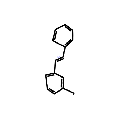 Fc1cccc(/C=C/c2ccccc2)c1